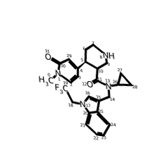 Cn1ccc([C@H]2CCNCC2C(=O)N(Cc2cn(CC(F)(F)F)c3ccccc23)C2CC2)cc1=O